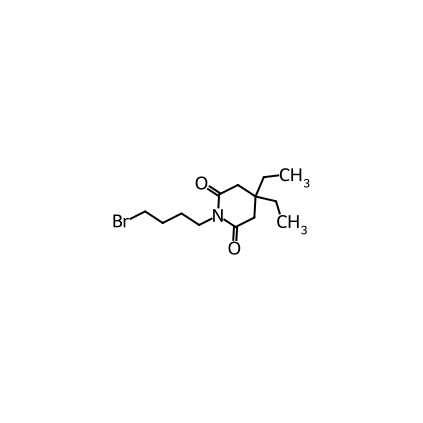 CCC1(CC)CC(=O)N(CCCCBr)C(=O)C1